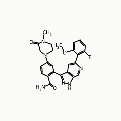 COc1cccc(F)c1-c1cc2c(-c3cc(N4CCN(C)C(=O)C4)ccc3C(N)=O)n[nH]c2cn1